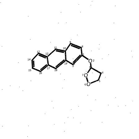 [c]1c(OC2CCOO2)ccc2cc3ccccc3cc12